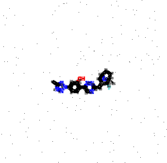 Cc1nnn(-c2ccc(-c3cnc(/C=C4\CC5CC[C@](C)(N5)[C@H]4F)nn3)c(O)c2)n1